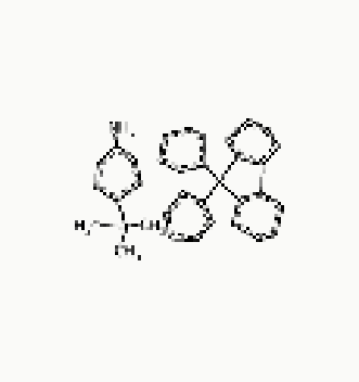 CC(C)(C)c1ccc(N)cc1.c1ccc(C2(c3ccccc3)c3ccccc3-c3ccccc32)cc1